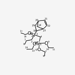 CCC[Si](C[Si](OCC)(OCC)OCC)(OCC)C1CC2C=CC1C2